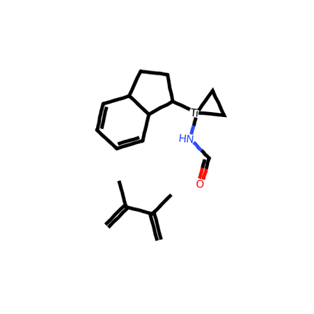 C=C(C)C(=C)C.O=C[NH][Ti]1([CH]2CCC3C=CC=CC32)[CH2][CH2]1